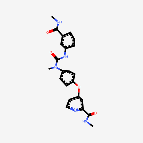 CNC(=O)c1cccc(NC(=O)N(C)c2ccc(Oc3ccnc(C(=O)NC)c3)cc2)c1